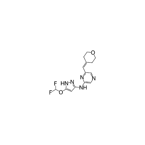 FC(F)Oc1cc(Nc2cncc(C=C3CCOCC3)n2)n[nH]1